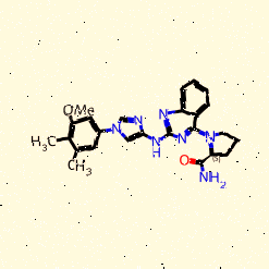 COc1cc(-n2cnc(Nc3nc(N4CCC[C@H]4C(N)=O)c4ccccc4n3)c2)cc(C)c1C